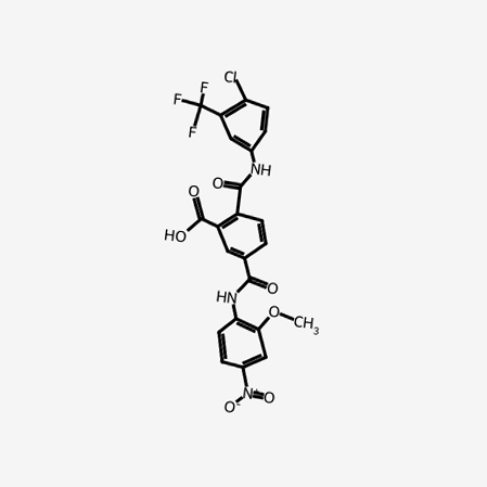 COc1cc([N+](=O)[O-])ccc1NC(=O)c1ccc(C(=O)Nc2ccc(Cl)c(C(F)(F)F)c2)c(C(=O)O)c1